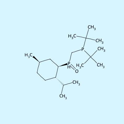 CC(C)[C@@H]1CC[C@@H](C)C[C@H]1[PH](=O)CP(C(C)(C)C)C(C)(C)C